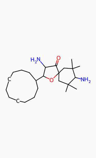 CC1(C)CC2(CC(C)(C)C1N)OC(C1CCCCCCCCCC1)C(N)C2=O